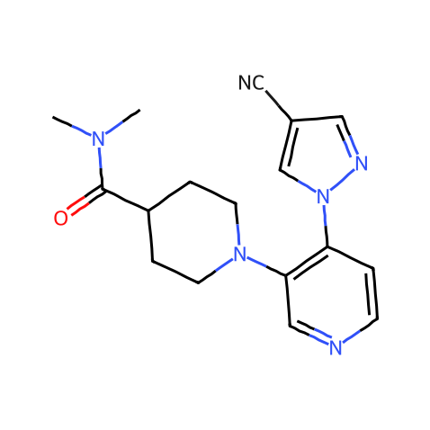 CN(C)C(=O)C1CCN(c2cnccc2-n2cc(C#N)cn2)CC1